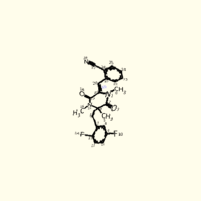 CN1C(=O)C(C)(Cc2cc(F)ccc2F)N(C)C(=O)/C1=C/c1ccccc1C#N